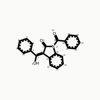 O=C1/C(=C(/O)c2ccccc2)c2ccccc2N1C(=O)c1ccccc1